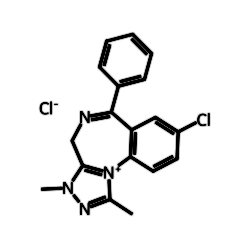 Cc1nn(C)c2[n+]1-c1ccc(Cl)cc1C(c1ccccc1)=NC2.[Cl-]